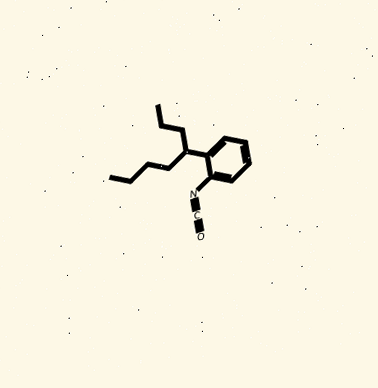 CCCCC(CCC)c1ccccc1N=C=O